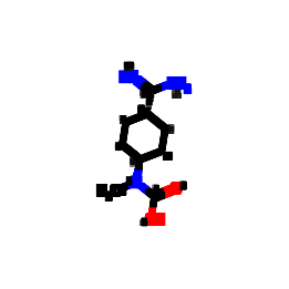 CN(C(=O)O)[C@H]1CC[C@H](C(=N)N)CC1